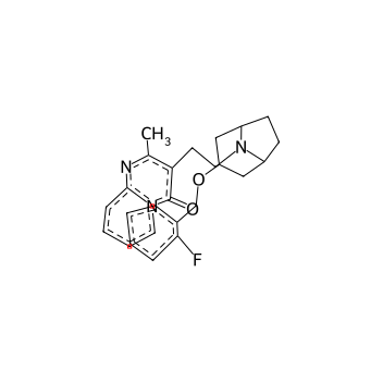 Cc1nc2ccccn2c(=O)c1CCN1C2CCC1CC(OCc1ccccc1F)C2